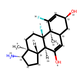 C[C@]12CC[C@@]3(F)[C@@H](C(O)=CC4C[C@H](O)C=C(F)[C@@]43C)[C@@H]1CC[C@@H]2N